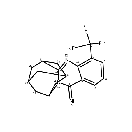 N=c1c2cccc(C(F)(F)F)c2nc2n1C1CC3CC(CC2C3)C1